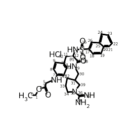 CCOC(=O)CNc1ccc(C[C@@H](NS(=O)(=O)c2ccc3ccccc3c2)C(=O)NCC2CCCN(C(=N)N)C2)cc1.Cl